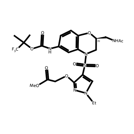 CCn1cc(S(=O)(=O)N2C[C@H](CNC(C)=O)Oc3ccc(NC(=O)OC(C)(C)C(F)(F)F)cc32)c(OCC(=O)OC)n1